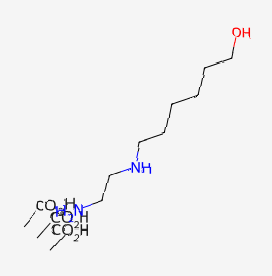 CC(=O)O.CC(=O)O.CC(=O)O.NCCNCCCCCCO